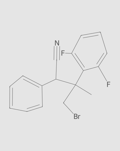 CC(CBr)(c1c(F)cccc1F)C(C#N)c1ccccc1